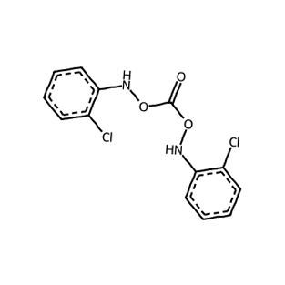 O=C(ONc1ccccc1Cl)ONc1ccccc1Cl